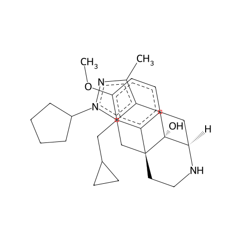 COc1ccc2c(c1CC1CC1)[C@]13CCN[C@H](C2)[C@]1(O)Cc1c(C)nn(C2CCCC2)c1C3